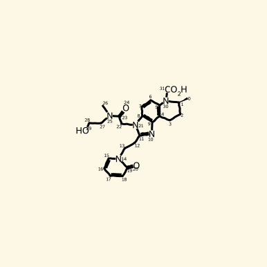 C[C@H]1CCc2c(ccc3c2nc(CCn2ccccc2=O)n3CC(=O)N(C)CCO)N1C(=O)O